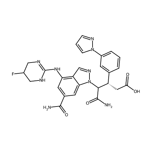 NC(=O)c1cc(NC2=NCC(F)CN2)c2cnn(C(C(N)=O)[C@@H](CC(=O)O)c3cccc(-n4cccn4)c3)c2c1